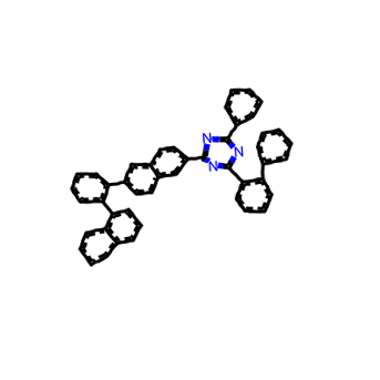 c1ccc(-c2nc(-c3ccc4cc(-c5ccccc5-c5cccc6ccccc56)ccc4c3)nc(-c3ccccc3-c3ccccc3)n2)cc1